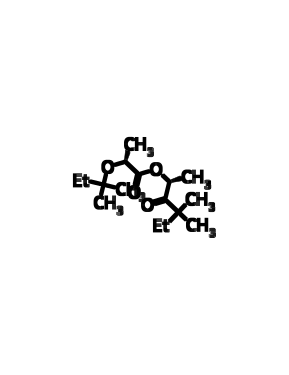 CCC(C)(C)O[C@@H](C)C(=O)O[C@@H](C)C(=O)C(C)(C)CC